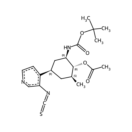 CC(=O)O[C@@H]1[C@@H](C)C[C@@H](c2ccncc2N=C=S)C[C@H]1NC(=O)OC(C)(C)C